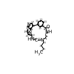 CCCCN1CCNC(=O)c2cccc(c2)-c2cnn3ccc(nc23)NCC1